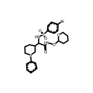 O=C(NOC1CCCCO1)C(NS(=O)(=O)c1ccc(Br)cc1)C1CCCN(c2ccccc2)C1